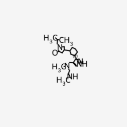 CNCCN(C)Cc1c[nH]nc1[C@@H]1CCCC(C2CC(=O)N(CC(C)C)C2)C1